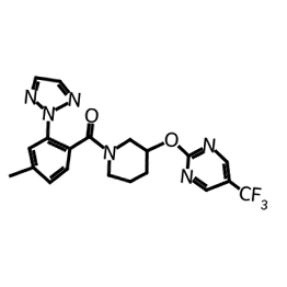 Cc1ccc(C(=O)N2CCCC(Oc3ncc(C(F)(F)F)cn3)C2)c(-n2nccn2)c1